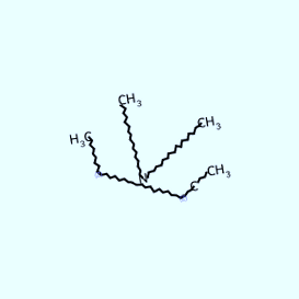 CCCCCCCC/C=C\CCCCCCCCC(CCCCCCCC/C=C\CCCCCCCC)N(CCCCCCCCCCCCCCCCCC)CCCCCCCCCCCCCCCCCC